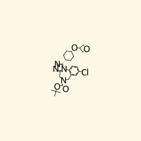 CC(C)(C)OC(=O)N1Cc2cc(Cl)ccc2-n2c(nnc2[C@H]2CC[C@H](OC3COC3)CC2)C1